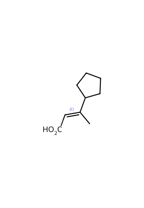 C/C(=C\C(=O)O)C1CCCC1